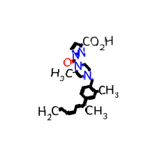 C=C/C=C\C=C(/C)c1ccc(CN2CCN(C(=O)n3ccc(C(=O)O)n3)[C@@H](C)C2)c(C)c1